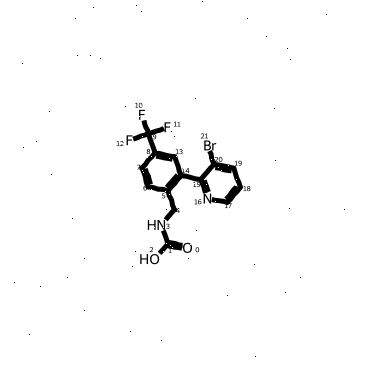 O=C(O)NCc1ccc(C(F)(F)F)cc1-c1ncccc1Br